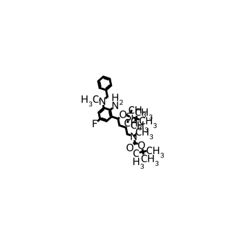 CN(CCCC(O[Si](C)(C)C(C)(C)C)c1cc(F)cc(N(C)Cc2ccccc2)c1N)C(=O)OC(C)(C)C